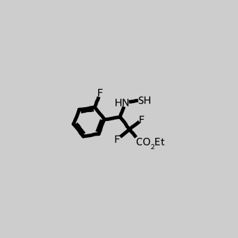 CCOC(=O)C(F)(F)C(NS)c1ccccc1F